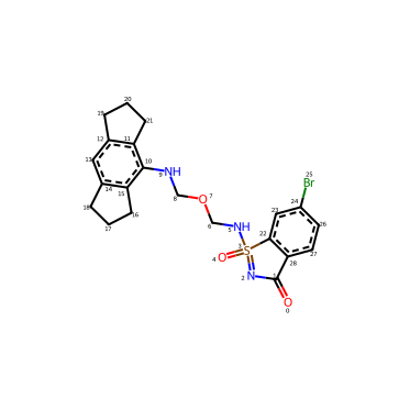 O=C1N=S(=O)(NCOCNc2c3c(cc4c2CCC4)CCC3)c2cc(Br)ccc21